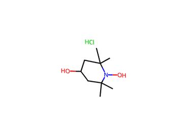 CC1(C)CC(O)CC(C)(C)N1O.Cl